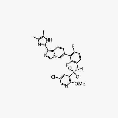 COc1ncc(Cl)cc1S(=O)(=O)Nc1ccc(F)c(-c2ccc3c(-c4nc(C)c(C)[nH]4)ncn3c2)c1F